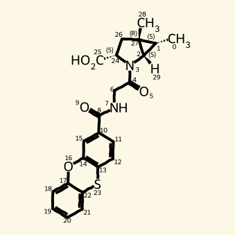 C[C@@H]1[C@@H]2N(C(=O)CNC(=O)c3ccc4c(c3)Oc3ccccc3S4)[C@H](C(=O)O)C[C@]12C